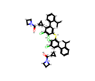 CC(C)c1ccccc1-c1cc(Sc2cc(-c3ccccc3C(C)C)c([C@@H]3C[C@H]3C(=O)N3CCC3)c(Cl)c2Cl)c(Cl)c(Cl)c1[C@@H]1C[C@H]1C(=O)N1CCC1